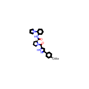 COc1ccc(-c2cc(C(=O)N3CCC[C@H]3C(=O)Nc3ccccc3-n3cccc3)[nH]n2)cc1